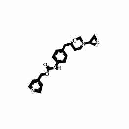 O=C(Nc1ccc(CC2CCN(C3COC3)CC2)cc1)OCc1ccncc1